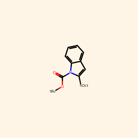 CCCCCCCCc1cc2ccccc2n1C(=O)OC(C)(C)C